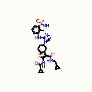 Cc1c(Nc2nncn2[C@H]2CCc3sc(NC(=O)C4CC4)c(C(=O)NCC4CC4)c3C2)cccc1[S@@](C)(=N)=O